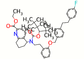 CCOC(=O)c1ccc2c(n1)CCCC2N(CCc1ccccc1OCc1ccc(CCc2ccc(F)cc2)cc1)C(=O)OC(C(C)(C)C)C(C)(C)C(C)(C)C